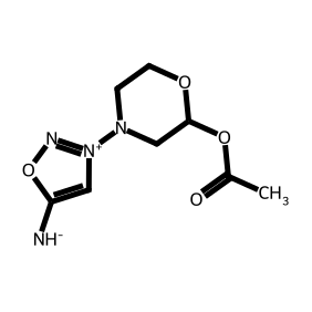 CC(=O)OC1CN([n+]2cc([NH-])on2)CCO1